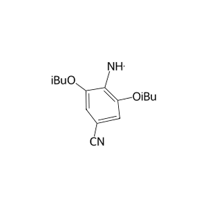 CC(C)COc1cc(C#N)cc(OCC(C)C)c1[NH]